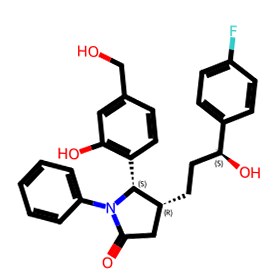 O=C1C[C@@H](CC[C@H](O)c2ccc(F)cc2)[C@@H](c2ccc(CO)cc2O)N1c1ccccc1